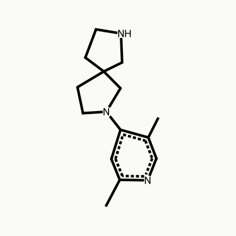 Cc1cc(N2CCC3(CCNC3)C2)c(C)cn1